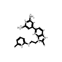 Cc1cccc(OCCn2c(C)nc3ccc(-c4cc(N)nc(N)c4)nc32)n1